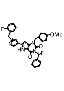 COc1ccc(Cn2c(=O)n(C(F)c3ccccc3)c(=O)c3[nH]c(-c4cnn(Cc5ccccc5F)c4)cc32)cc1